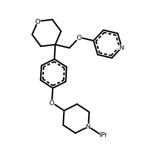 CC(C)N1CCC(Oc2ccc(C3(COc4ccncc4)CCOCC3)cc2)CC1